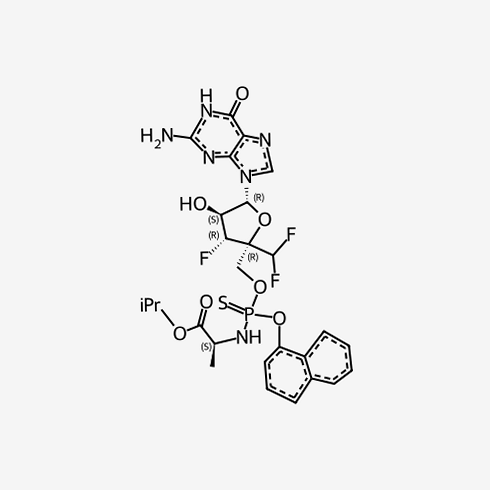 CC(C)OC(=O)[C@H](C)NP(=S)(OC[C@@]1(C(F)F)O[C@@H](n2cnc3c(=O)[nH]c(N)nc32)[C@H](O)[C@H]1F)Oc1cccc2ccccc12